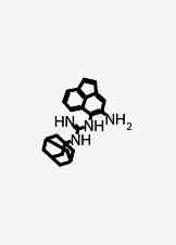 N=C(Nc1c(N)cc2c3c(cccc13)C=C2)NC12CC3CC(CC(C3)C1)C2